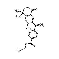 C=C(c1ccc(C(=O)OCC)cc1)c1cc2c(cc1C)C(C)(C)CCC2=O